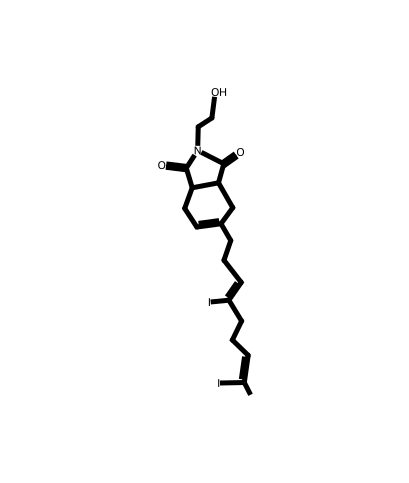 C/C(I)=C/CC/C(I)=C/CCC1=CCC2C(=O)N(CCO)C(=O)C2C1